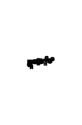 COc1cccc(C(=O)NCc2ccc(S(=O)(=O)N3CCC(N[C@@H]4C[C@@H]5CC[C@@H]4C5)CC3)s2)c1